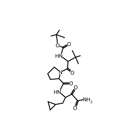 CC(C)(C)OC(=O)NC(C(=O)N1CCCC1C(=O)NC(CC1CC1)C(=O)C(N)=O)C(C)(C)C